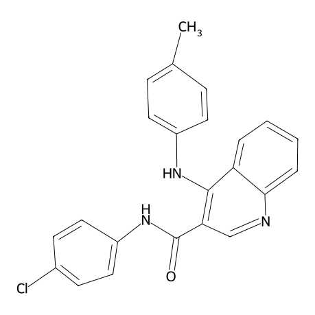 Cc1ccc(Nc2c(C(=O)Nc3ccc(Cl)cc3)cnc3ccccc23)cc1